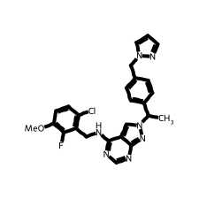 COc1ccc(Cl)c(CNc2ncnc3nn(C(C)c4ccc(Cn5cccn5)cc4)cc23)c1F